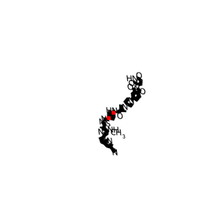 CNc1cc(-c2ccc3cc(C#N)cnn23)ncc1-c1nnc(C23CCC(NC(=O)C4CN(C5CCN(c6ccc7c(c6)C(=O)N(C6CCC(=O)NC6=O)C7=O)CC5)C4)(CC2)CC3)s1